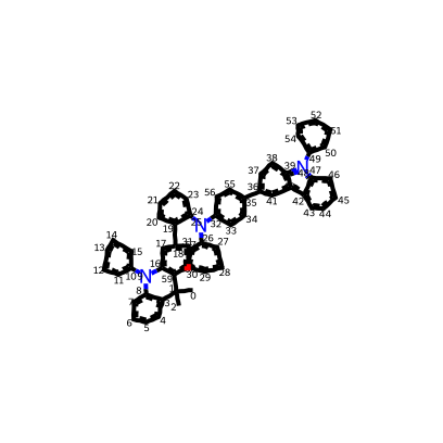 CC1(C)c2ccccc2N(c2ccccc2)c2cc(-c3ccccc3N(c3ccccc3)c3ccc(-c4ccc5c(c4)c4ccccc4n5-c4ccccc4)cc3)ccc21